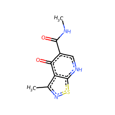 CNC(=O)c1c[nH]c2snc(C)c2c1=O